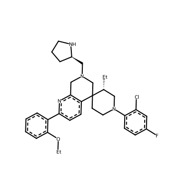 CCOc1ccccc1-c1ccc2c(n1)CN(C[C@H]1CCCN1)CC21CCN(c2ccc(F)cc2Cl)C[C@H]1CC